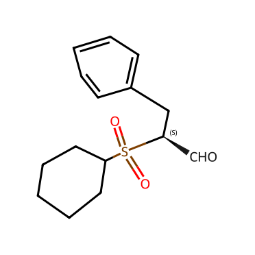 O=C[C@H](Cc1ccccc1)S(=O)(=O)C1CCCCC1